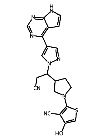 N#CCC(C1CCN(c2scc(O)c2C#N)C1)n1cc(-c2ncnc3[nH]ccc23)cn1